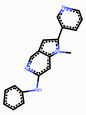 Cn1c(-c2cccnc2)cc2cnc(Nc3ccccc3)cc21